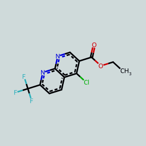 CCOC(=O)c1cnc2nc(C(F)(F)F)ccc2c1Cl